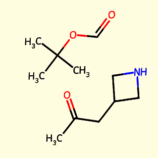 CC(=O)CC1CNC1.CC(C)(C)OC=O